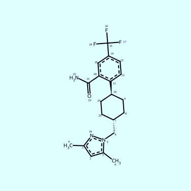 Cc1cc(C)n(C[C@H]2CC[C@H](c3ccc(C(F)(F)F)cc3C(N)=O)CC2)n1